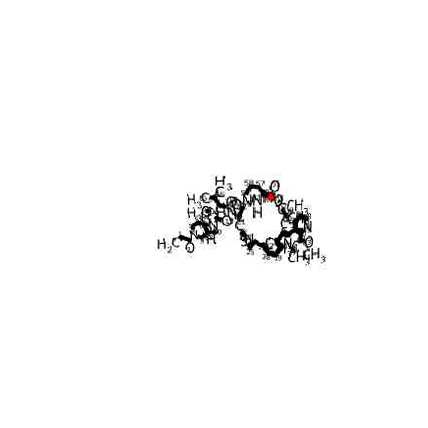 C=CC(=O)N1CC[C@@H]2[C@H](C1)CN2C(=O)N(C)C(C(=O)N[C@H]1Cc2nc(cs2)-c2ccc3c(c2)c(c(-c2cccnc2[C@H](C)OC)n3CC)CC(C)(C)COC(=O)[C@@H]2CCCN(N2)C1=O)C(C)C